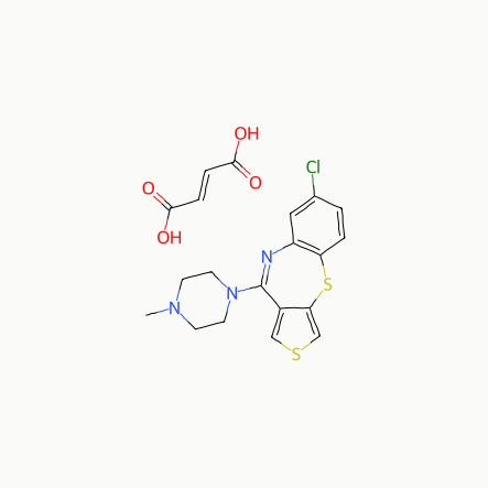 CN1CCN(C2=Nc3cc(Cl)ccc3Sc3cscc32)CC1.O=C(O)C=CC(=O)O